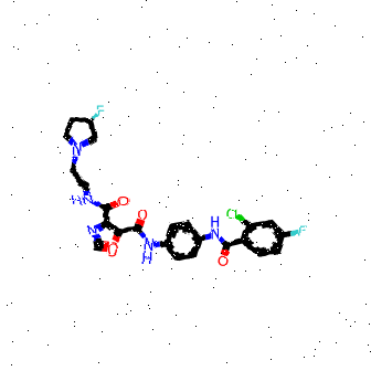 O=C(Nc1ccc(NC(=O)c2ocnc2C(=O)NCCN2CC[C@@H](F)C2)cc1)c1ccc(F)cc1Cl